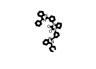 C/C=C\C(=C/C)c1nc(-c2cccc(-n3c(=O)c(=O)n(-c4cccc(-c5nc(-c6ccccc6)c6ccccc6n5)c4)c4ccccc43)c2)nc2ccccc12